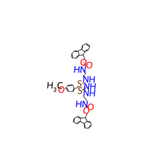 COc1ccc(CSC(NCCNC(=O)OCC2c3ccccc3-c3ccccc32)NC(=S)NCCNC(=O)OCC2c3ccccc3-c3ccccc32)cc1